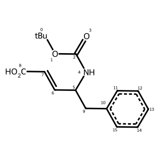 CC(C)(C)OC(=O)NC(C=CC(=O)O)Cc1ccccc1